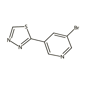 Brc1cncc(-c2nncs2)c1